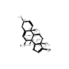 C[C@]12C=C[C@H](O)CC1=C[C@H](N)[C@@H]1[C@@H]2CC[C@]2(C)C(O)=CC[C@@H]12